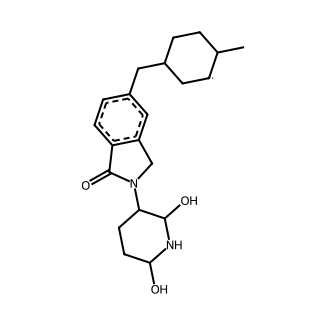 CC1[CH]CC(Cc2ccc3c(c2)CN(C2CCC(O)NC2O)C3=O)CC1